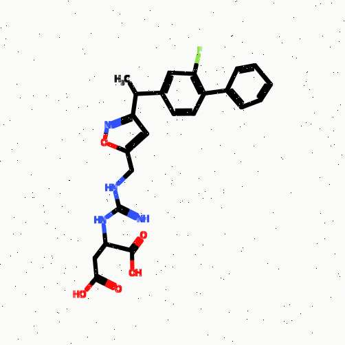 CC(c1ccc(-c2ccccc2)c(F)c1)c1cc(CNC(=N)NC(CC(=O)O)C(=O)O)on1